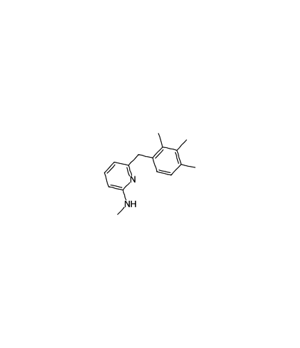 CNc1cccc(Cc2ccc(C)c(C)c2C)n1